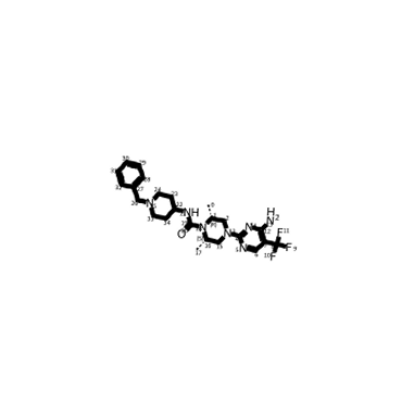 C[C@@H]1CN(c2ncc(C(F)(F)F)c(N)n2)C[C@H](C)N1C(=O)NC1CCN(Cc2ccccc2)CC1